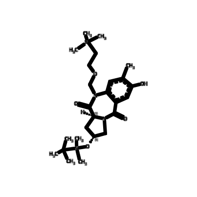 Cc1cc2c(cc1O)C(=O)N1C[C@H](O[Si](C)(C)C(C)(C)C)C[C@H]1C(=O)N2COCC[Si](C)(C)C